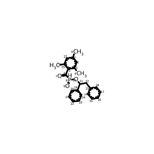 Cc1cc(C)c(C(=O)[PH](=O)OC(Cc2ccccc2)c2ccccc2)c(C)c1